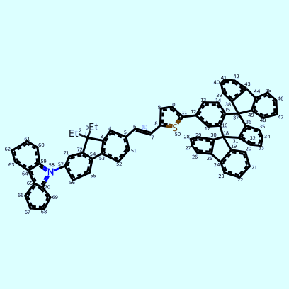 CCC1(CC)c2cc(/C=C/c3ccc(-c4ccc5c(c4)C4(c6ccccc6-c6ccccc64)c4ccccc4C54c5ccccc5-c5ccccc54)s3)ccc2-c2ccc(-n3c4ccccc4c4ccccc43)cc21